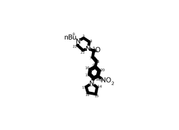 CCCCN1CCN(C(=O)C=Cc2ccc(N3CCCC3)c([N+](=O)[O-])c2)CC1